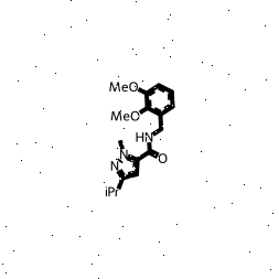 COc1cccc(CNC(=O)c2cc(C(C)C)nn2C)c1OC